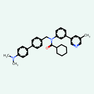 Cc1cncc(-c2cccc(N(Cc3ccc(-c4ccc(N(C)C)cc4)cc3)C(=O)C3CCCCC3)c2)c1